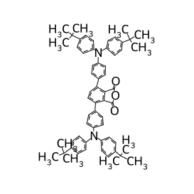 CC(C)(C)c1ccc(N(c2ccc(-c3ccc(-c4ccc(N(c5ccc(C(C)(C)C)cc5)c5ccc(C(C)(C)C)cc5)cc4)c4c3C(=O)OC4=O)cc2)c2ccc(C(C)(C)C)cc2)cc1